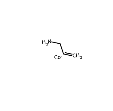 C=CCN.[Co]